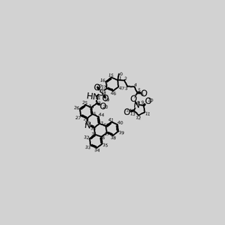 CC1(CCCC(=O)ON2C(=O)CCC2=O)C=CC(S(=O)(=O)NC(=O)c2cccc3nc4c5ccccc5c5ccccc5c4cc23)=CC1